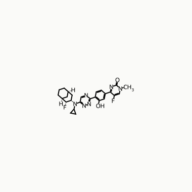 Cn1cc(F)c(-c2ccc(-c3ncc(N(C4CC4)[C@H]4C[C@@H]5CCC[C@@H](C5)[C@H]4F)nn3)c(O)c2)nc1=O